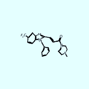 CN1CCN(C(=O)C=Cc2nc3cc(C(F)(F)F)ccc3n2-c2ccccc2)CC1